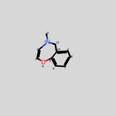 CN1C=COc2ccccc2C1